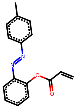 C=CC(=O)Oc1ccccc1N=Nc1ccc(C)cc1